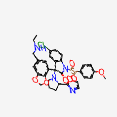 CCNCc1cc2c(c(C3(N4CCCC4c4ncco4)C(=O)N(S(=O)(=O)c4ccc(OC)cc4)c4ccc(Cl)cc43)c1)OCO2